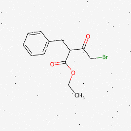 CCOC(=O)C(Cc1ccccc1)C(=O)CBr